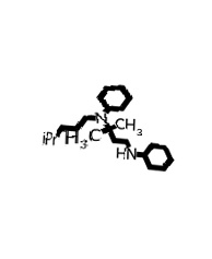 CC(C)CCCN(C1CCCCC1)C(C)(C)CCNC1CCCCC1